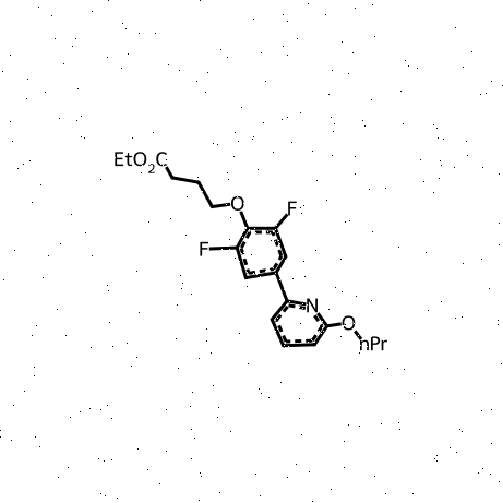 CCCOc1cccc(-c2cc(F)c(OCCCC(=O)OCC)c(F)c2)n1